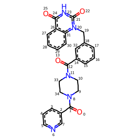 O=C(c1cccnc1)N1CCN(C(=O)c2cccc(Cn3c(=O)[nH]c(=O)c4ccccc43)c2)CC1